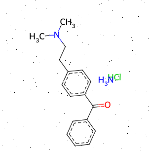 CN(C)CCc1ccc(C(=O)c2ccccc2)cc1.Cl.N